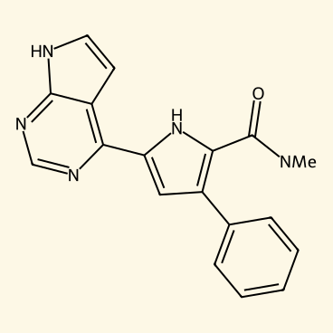 CNC(=O)c1[nH]c(-c2ncnc3[nH]ccc23)cc1-c1ccccc1